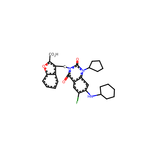 O=C(O)c1oc2ccccc2c1Cn1c(=O)c2cc(F)c(NC3CCCCC3)cc2n(C2CCCC2)c1=O